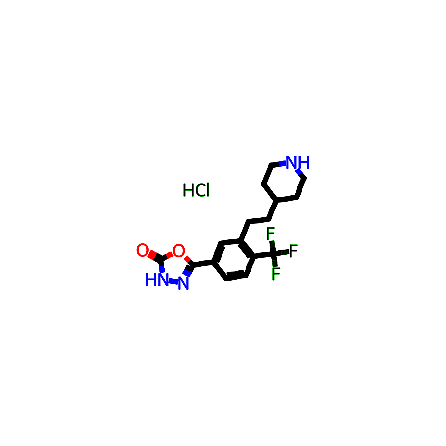 Cl.O=c1[nH]nc(-c2ccc(C(F)(F)F)c(CCC3CCNCC3)c2)o1